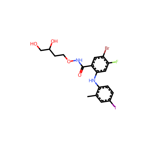 Cc1cc(I)ccc1Nc1cc(F)c(Br)cc1C(=O)NOCCC(O)CO